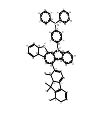 CC1CC=CC2=C1C(C)(C)C1C2=CC=C(c2cc3c(c4c2c2ccccc2n4-c2ccc(N(c4ccccc4)c4ccccc4)cc2)OC2C=CC=CC32)C1C